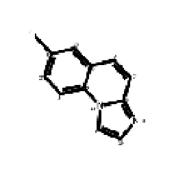 Ic1ccc2c(ccc3nccn32)c1